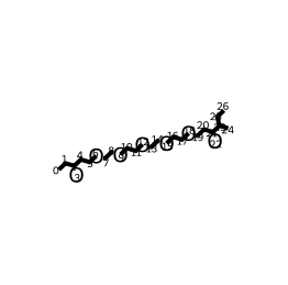 CCC(=O)CCOCCOCCOCCOCCOCCC(=O)C(C)CC